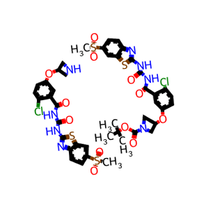 CC(C)(C)OC(=O)N1CC(Oc2ccc(Cl)c(C(=O)NC(=O)Nc3nc4ccc(S(C)(=O)=O)cc4s3)c2)C1.CS(=O)(=O)c1ccc2nc(NC(=O)NC(=O)c3cc(OC4CNC4)ccc3Cl)sc2c1